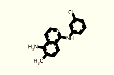 Cc1ccc2c(Nc3cccc(Cl)c3)nccc2c1N